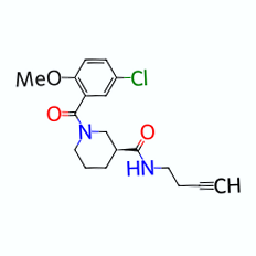 C#CCCNC(=O)[C@H]1CCCN(C(=O)c2cc(Cl)ccc2OC)C1